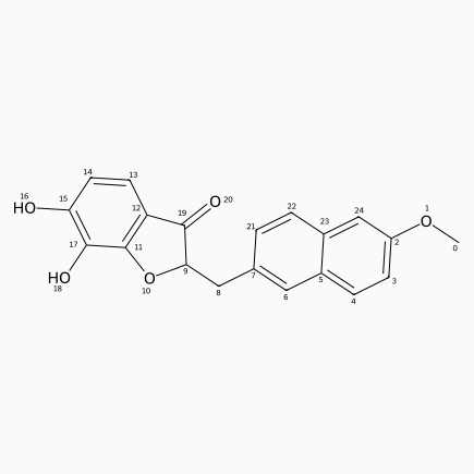 COc1ccc2cc(CC3Oc4c(ccc(O)c4O)C3=O)ccc2c1